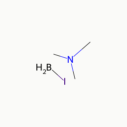 BI.CN(C)C